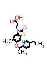 CCc1ccc([C@@H](C)Oc2cc3sc(=O)n(CCC(=O)O)c3cc2C)nc1